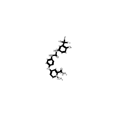 CN1CC=C(Oc2ccc(NC(=O)Nc3ccc(Cl)c(C(F)(F)F)c3)cc2)C=C1C(N)=O